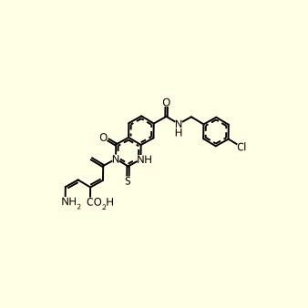 C=C(/C=C(\C=C/N)C(=O)O)n1c(=S)[nH]c2cc(C(=O)NCc3ccc(Cl)cc3)ccc2c1=O